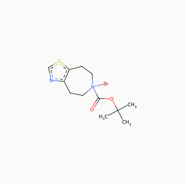 CC(C)(C)OC(=O)[N+]1(Br)CCc2ncsc2CC1